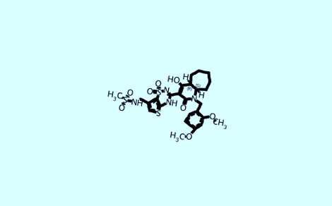 COc1ccc(CN2C(=O)C(C3=NS(=O)(=O)c4c(CNS(C)(=O)=O)csc4N3)=C(O)[C@@H]3CCCCC[C@@H]32)c(OC)c1